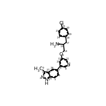 Cc1n[nH]c2ccc(-c3cncc(OCC(N)Cc4ccc(Cl)cc4)c3)cc12